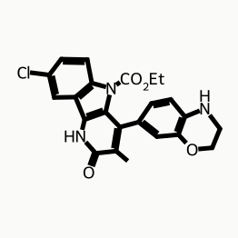 CCOC(=O)n1c2ccc(Cl)cc2c2[nH]c(=O)c(C)c(-c3ccc4c(c3)OCCN4)c21